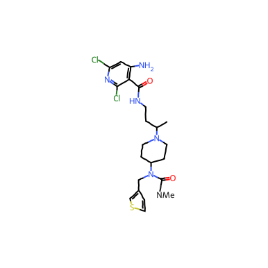 CNC(=O)N(Cc1ccsc1)C1CCN(C(C)CCNC(=O)c2c(N)cc(Cl)nc2Cl)CC1